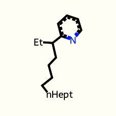 CCCCCCCCCCCC(CC)c1ccccn1